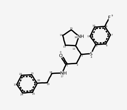 O=C(CC(Sc1ccc(F)cc1)C1CCCN1)NCCc1ccccc1